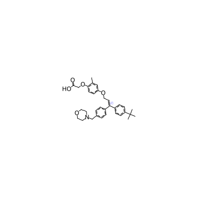 Cc1cc(OC/C=C(\c2ccc(CN3CCOCC3)cc2)c2ccc(C(C)(C)C)cc2)ccc1OCC(=O)O